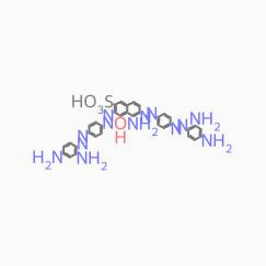 Nc1ccc(/N=N/c2ccc(/N=N/c3ccc4cc(S(=O)(=O)O)c(/N=N/c5ccc(/N=N/c6ccc(N)cc6N)cc5)c(O)c4c3N)cc2)c(N)c1